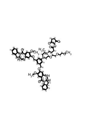 COCCOCCOCCN(C[C@H](C)SCCCC(=O)ON1C(=O)CCC1=O)c1cc(COc2cc3c(cc2OC)C(=O)N2c4ccccc4C[C@@H]2C=N3)cc(COc2cc3c(cc2OC)C(=O)N2c4ccccc4C[C@H]2CN3)c1